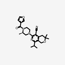 CC(C)c1nc(N2CCN(C(=O)c3ccoc3)[C@H](C)C2)c(C#N)c2c1COC(C)(C)C2